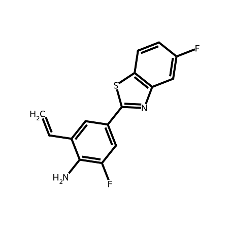 C=Cc1cc(-c2nc3cc(F)ccc3s2)cc(F)c1N